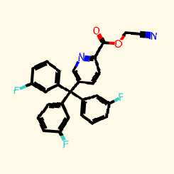 N#CCOC(=O)c1ccc(C(c2cccc(F)c2)(c2cccc(F)c2)c2cccc(F)c2)cn1